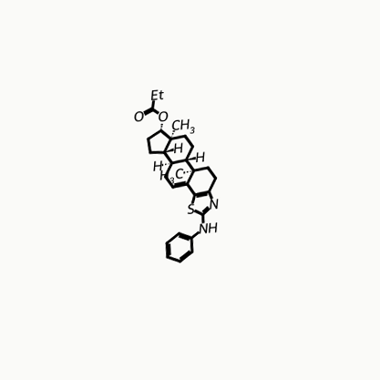 CCC(=O)O[C@H]1CC[C@H]2[C@@H]3CC=C4c5sc(Nc6ccccc6)nc5CC[C@]4(C)[C@H]3CC[C@]12C